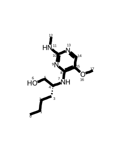 CCCC[C@H](CO)Nc1nc(NC)ncc1OC